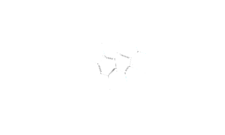 F[C](F)c1c(F)c(F)c2c(F)c(F)c(F)c(F)c2c1F